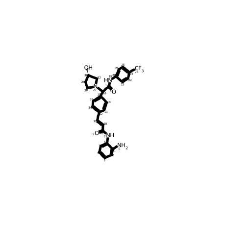 Nc1ccccc1NC(=O)/C=C/c1ccc(C(C(=O)Nc2ccc(C(F)(F)F)cc2)N2CC[C@H](O)C2)cc1